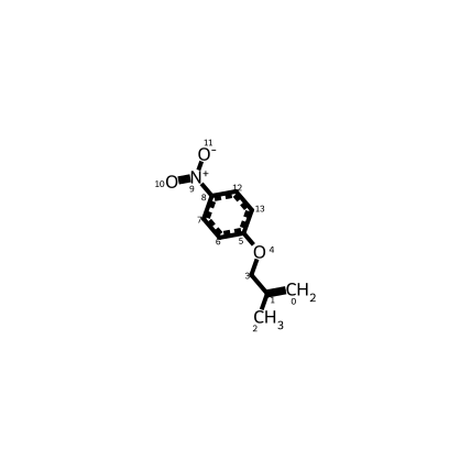 C=C(C)COc1ccc([N+](=O)[O-])cc1